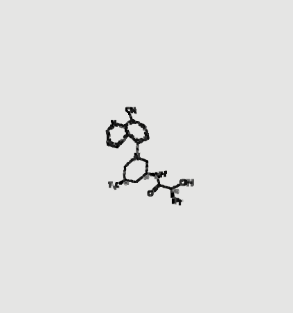 CC(C)[C@H](O)C(=O)N[C@H]1C[C@@H](C(F)(F)F)CN(c2ccc(C#N)c3ncccc23)C1